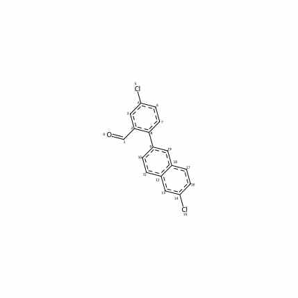 O=Cc1cc(Cl)ccc1-c1ccc2cc(Cl)ccc2c1